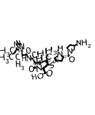 C[C@@H](NC(=O)Cn1nnnc1C(C)(C)C)[C@H]1C(=O)N2C(C(=O)O)=C(S[C@@H]3CN[C@H](C(=O)N4CCC(N)C4)C3)[C@H](C)[C@H]12